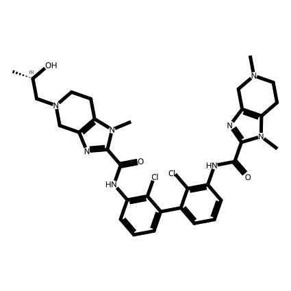 C[C@H](O)CN1CCc2c(nc(C(=O)Nc3cccc(-c4cccc(NC(=O)c5nc6c(n5C)CCN(C)C6)c4Cl)c3Cl)n2C)C1